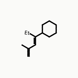 C=C(C)C=C(CC)C1CCCCC1